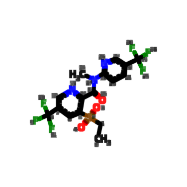 CCS(=O)(=O)c1cc(C(F)(F)F)cnc1C(=O)N(C)c1ccc(C(F)(F)F)cn1